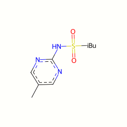 CCC(C)S(=O)(=O)Nc1ncc(C)cn1